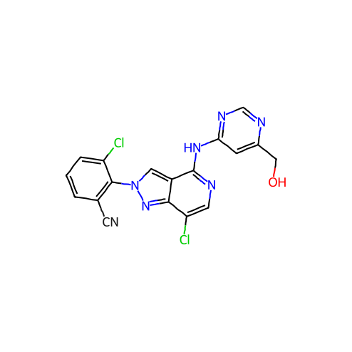 N#Cc1cccc(Cl)c1-n1cc2c(Nc3cc(CO)ncn3)ncc(Cl)c2n1